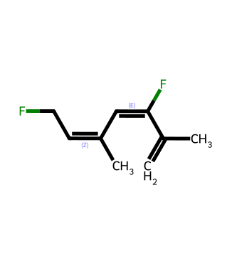 C=C(C)/C(F)=C\C(C)=C/CF